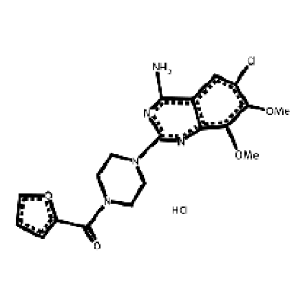 COc1c(Cl)cc2c(N)nc(N3CCN(C(=O)c4ccco4)CC3)nc2c1OC.Cl